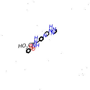 O=C(O)C[C@@H](NCc1ccc(N2CCC(Nc3ncccn3)CC2)cc1)NS(=O)(=O)c1ccccc1